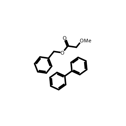 COCC(=O)OCc1ccccc1.c1ccc(-c2ccccc2)cc1